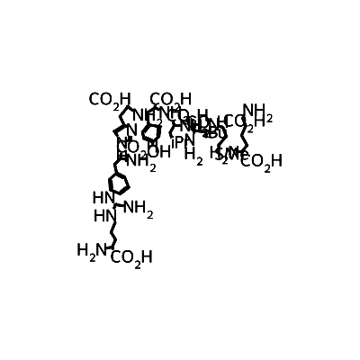 CC(C)CC(N)C(=O)O.CCC(C)C(N)C(=O)O.CSCCC(N)C(=O)O.N=C(N)NCCCC(N)C(=O)O.NC(Cc1c[nH]cn1)C(=O)O.NC(Cc1ccc(O)cc1)C(=O)O.NC(Cc1ccccc1)C(=O)O.NCCCCC(N)C(=O)O